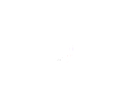 I.[O-2].[O-2].[Sn+4]